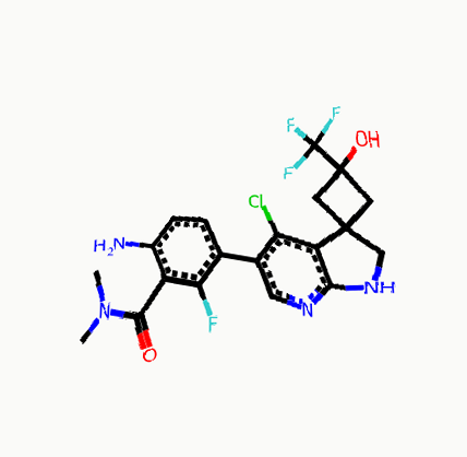 CN(C)C(=O)c1c(N)ccc(-c2cnc3c(c2Cl)C2(CN3)CC(O)(C(F)(F)F)C2)c1F